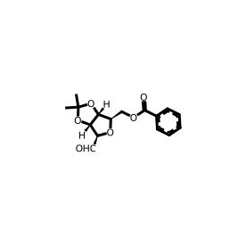 CC1(C)O[C@@H]2[C@H](O1)[C@@H](COC(=O)c1ccccc1)O[C@H]2C=O